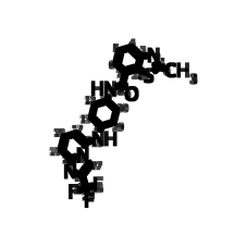 Cc1nc2cccc(C(=O)NC3CCC(Nc4cccc5nc(C(F)(F)F)cn45)CC3)c2s1